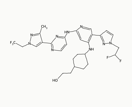 Cc1nn(CC(F)(F)F)cc1-c1nccc(Nc2cc(NC3CCC(CCO)CC3)c(-c3ccn(CC(F)F)n3)cn2)n1